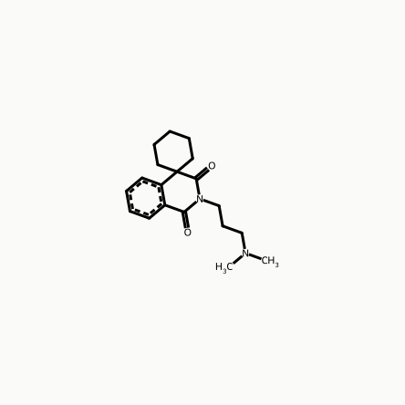 CN(C)CCCN1C(=O)c2ccccc2C2(CCCCC2)C1=O